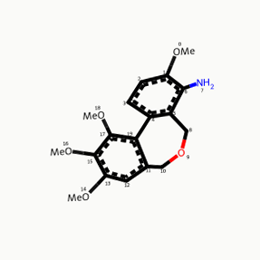 COc1ccc2c(c1N)COCc1cc(OC)c(OC)c(OC)c1-2